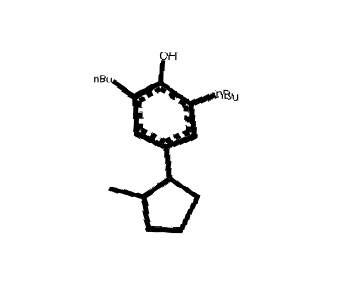 CCCCc1cc(C2CCCC2C)cc(CCCC)c1O